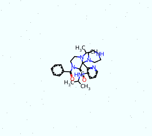 CC(C)Nc1cccnc1C1(N2CCNCC2)C(=C=O)N(C(=O)c2ccccc2)CCN1C(C)C